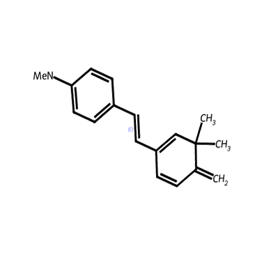 C=C1C=CC(/C=C/c2ccc(NC)cc2)=CC1(C)C